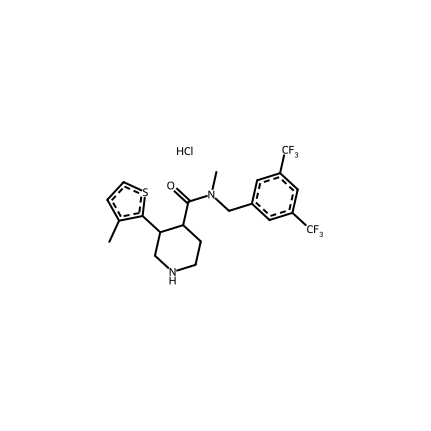 Cc1ccsc1C1CNCCC1C(=O)N(C)Cc1cc(C(F)(F)F)cc(C(F)(F)F)c1.Cl